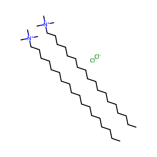 CCCCCCCCCCCCCCCCCC[N+](C)(C)C.CCCCCCCCCCCCCCCCCC[N+](C)(C)C.[Cl-].[Cl-]